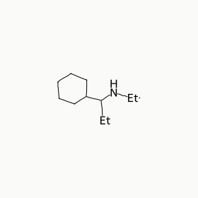 C[CH]NC(CC)C1CCCCC1